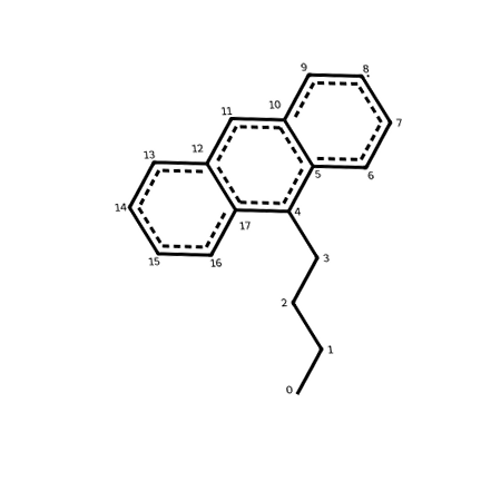 CCCCc1c2cc[c]cc2cc2ccccc12